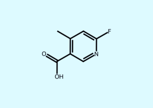 Cc1cc(F)ncc1C(=O)O